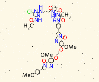 C=CC(=O)Nc1cc(Cl)nc(NCCCC(=O)NC(C(=O)N[C@@H](C)C(=O)Nc2ccc(C3=CN4C(=O)c5cc(OC)c(OCCCOc6cc7c(cc6OC)C(=O)N6C=C(c8ccc(OC)cc8)CC6C=N7)cc5N=CC4C3)cc2)C(C)C)n1